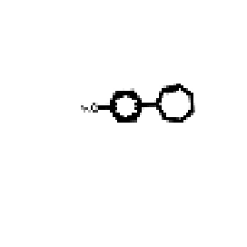 Oc1ccc(C2C=CCCCC2)cc1